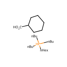 CCCCCC[PH](CCCC)(CCCC)CCCC.O=C(O)C1CCCCC1